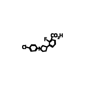 O=C(O)c1cccc(C2CCN(c3ccc(Cl)cc3)C2)c1F